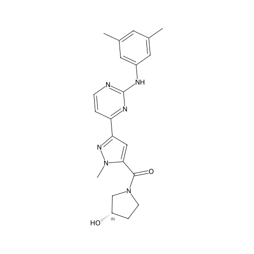 Cc1cc(C)cc(Nc2nccc(-c3cc(C(=O)N4CC[C@H](O)C4)n(C)n3)n2)c1